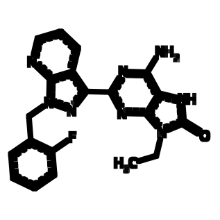 CCn1c(=O)[nH]c2c(N)nc(-c3nn(Cc4ccccc4F)c4ncccc34)nc21